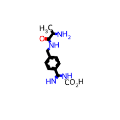 CC(N)C(=O)NCc1ccc(C(=N)NC(=O)O)cc1